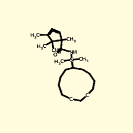 CC1=C=CC(C)(C(=O)N[Si](C)(C)C2CCCCCCCCCCC2)C1(C)C